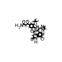 CC(C)(C)Oc1cc(C(=O)CC(N)=O)ccc1C1=N[C@@H](c2ncc[nH]2)[C@@H](c2ccc(Cl)cc2)N1C(=O)N1CCNC(=O)C1